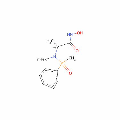 CCCCCCN([C@H](C)C(=O)NO)P(C)(=O)c1ccccc1